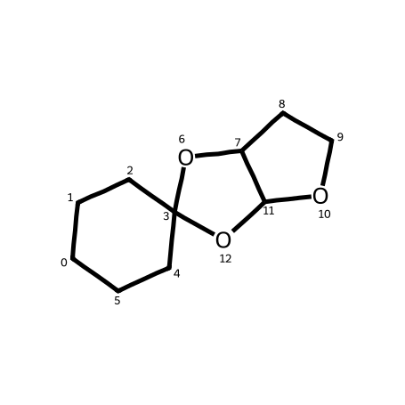 C1CCC2(CC1)OC1CCOC1O2